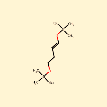 CC(C)(C)[Si](C)(C)O/C=C/CCO[Si](C)(C)C(C)(C)C